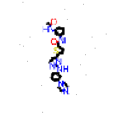 CC(=O)Nc1cccc(NC(=O)c2ccc(-c3ccnc(Nc4cccc(N5CCN(C)CC5)c4)n3)s2)c1